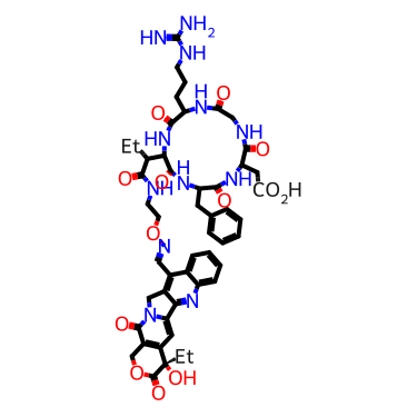 CCC(C(=O)NCCON=Cc1c2c(nc3ccccc13)-c1cc3c(c(=O)n1C2)COC(=O)[C@]3(O)CC)C1NC(=O)C(CCCNC(=N)N)NC(=O)CNC(=O)C(CC(=O)O)NC(=O)C(Cc2ccccc2)NC1=O